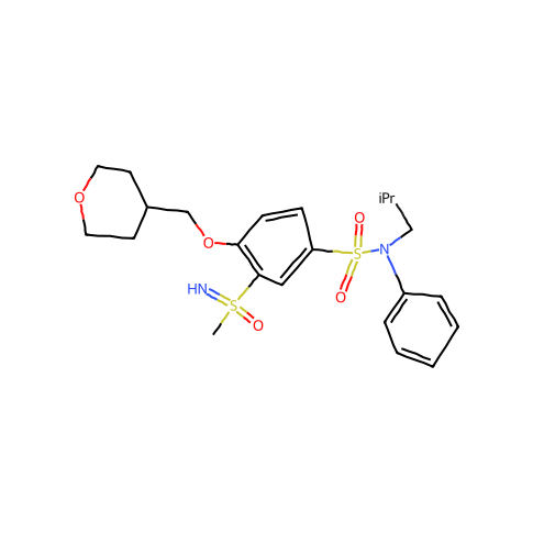 CC(C)CN(c1ccccc1)S(=O)(=O)c1ccc(OCC2CCOCC2)c(S(C)(=N)=O)c1